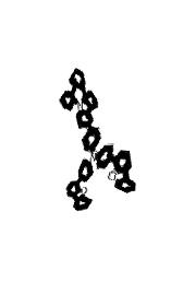 c1ccc2c(c1)-c1ccccc1-n1c3ccc(-c4ccc(N(c5ccc(-c6cccc7c6oc6ccccc67)cc5)c5ccc(-c6cccc7c6oc6ccccc67)cc5)cc4)cc3c3cccc-2c31